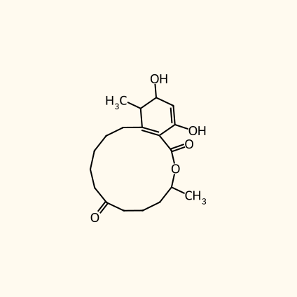 CC1CCCC(=O)CCCCCC2=C(C(=O)O1)C(O)=CC(O)C2C